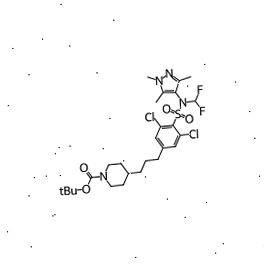 Cc1nn(C)c(C)c1N(C(F)F)S(=O)(=O)c1c(Cl)cc(CCCC2CCN(C(=O)OC(C)(C)C)CC2)cc1Cl